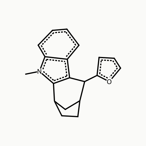 Cn1c2c(c3ccccc31)C(c1ccco1)C1CCC2C1